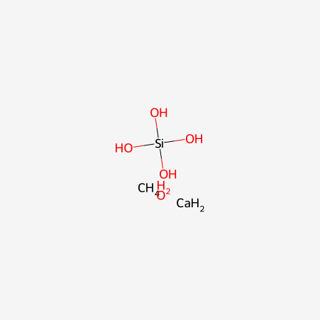 C.O.O[Si](O)(O)O.[CaH2]